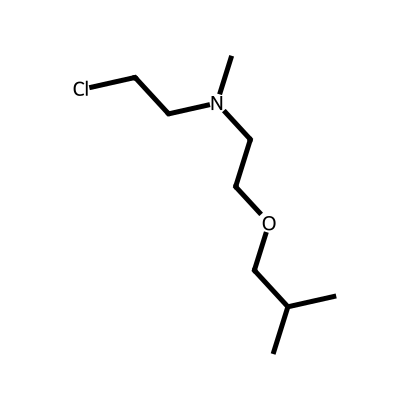 CC(C)COCCN(C)CCCl